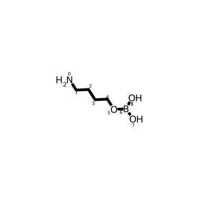 NCCCCOB(O)O